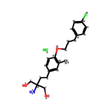 Cl.NC(CO)(CO)CCc1ccc(OCCCc2ccc(Cl)cc2)c(C(F)(F)F)c1